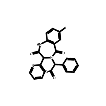 O=C(O)C(c1ccccc1)N1C(=O)c2cc(I)ccc2NC(=O)C1c1ccccn1